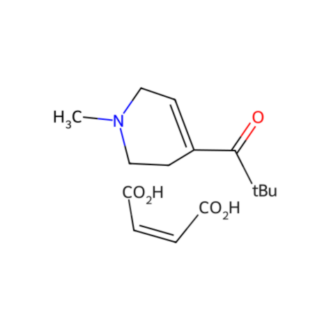 CN1CC=C(C(=O)C(C)(C)C)CC1.O=C(O)/C=C\C(=O)O